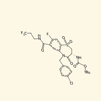 CC(C)(C)OC(=O)N[C@H]1CS(=O)(=O)c2cc(F)c(C(=O)NCCC(F)(F)F)cc2N(Cc2ccc(Cl)cc2)C1=O